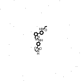 C=CC(=O)Nc1cccc(-c2cccc3cnc(Nc4ccc(C5OCCNC5=O)cc4)nc23)c1